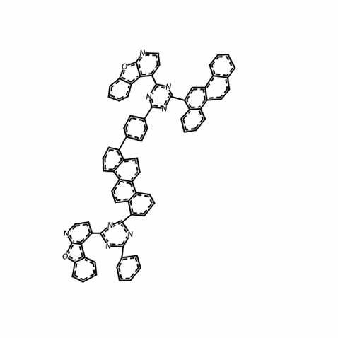 c1ccc(-c2nc(-c3cccc4c3ccc3c5cccc(-c6ccc(-c7nc(-c8cc9c%10ccccc%10ccc9c9ccccc89)nc(-c8ccnc9oc%10ccccc%10c89)n7)cc6)c5ccc43)nc(-c3ccnc4oc5ccccc5c34)n2)cc1